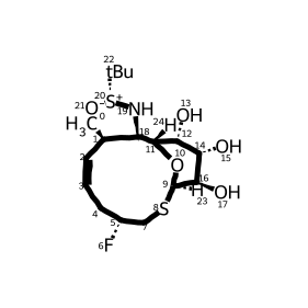 C[C@@H]1/C=C\C[C@@H](F)CS[C@H]2O[C@@H]([C@H](O)[C@H](O)[C@H]2O)[C@@H]1N[S@+]([O-])C(C)(C)C